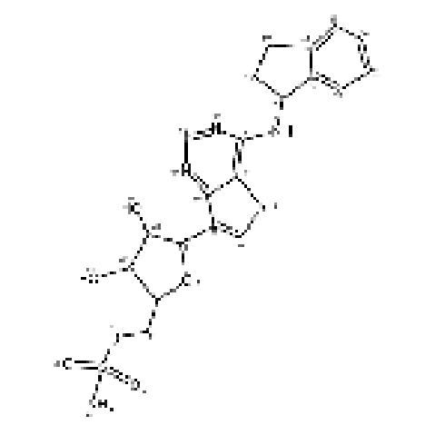 NS(=O)(=O)OCC1OC(c2csc3c(NC4CCc5ccccc54)ncnc23)C(O)C1O